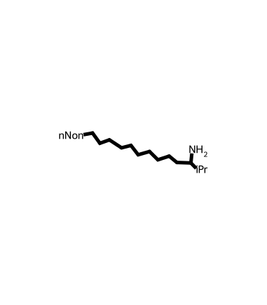 CCCCCCCCCCCCCCCCCCCC(N)C(C)C